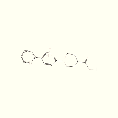 C=C(/C=C\C(=C/N)c1ncccn1)N1CCC(C(=O)CCl)CC1